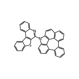 c1ccc2c(c1)-c1cccc3ccc4c(c13)c1c-2cccc1n4-c1nc2ccccc2c2c1sc1ccccc12